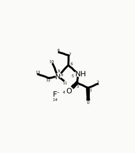 C=C(C)C(=O)NC(CC)[N+](C)(C)CC.[F-]